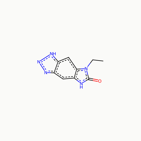 CCn1c(=O)[nH]c2cc3nn[nH]c3cc21